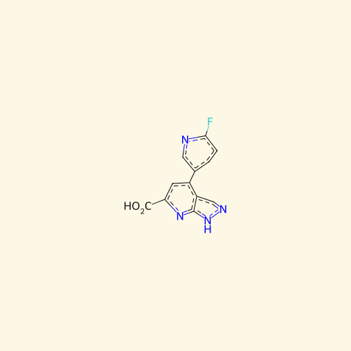 O=C(O)c1cc(-c2ccc(F)nc2)c2cn[nH]c2n1